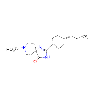 O=C(O)N1CCC2(CC1)N=C(C1CCC(=CCC(F)(F)F)CC1)NC2=O